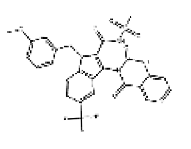 COc1cccc(Cn2c(C(=O)NS(C)(=O)=O)c(-n3c(=O)[nH]c4ccccc4c3=O)c3cc(C(F)(F)F)ccc32)c1